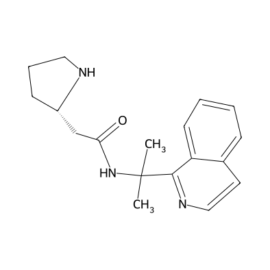 CC(C)(NC(=O)C[C@@H]1CCCN1)c1nccc2ccccc12